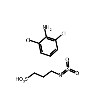 Nc1c(Cl)cccc1Cl.O=S(=O)=NCCCS(=O)(=O)O